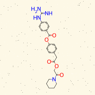 N=C(N)Nc1ccc(C(=O)Oc2ccc(CC(=O)OCC(=O)N3CCCCC3)cc2)cc1